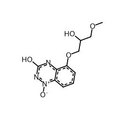 COCC(O)COc1cccc2c1nc(O)n[n+]2[O-]